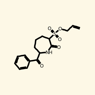 C=CCOS(=O)(=O)C1CCCC(C(=O)c2ccccc2)NC1=O